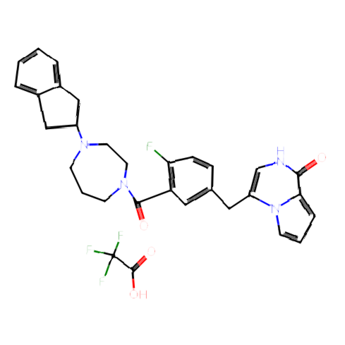 O=C(O)C(F)(F)F.O=C(c1cc(Cc2c[nH]c(=O)c3cccn23)ccc1F)N1CCCN(C2Cc3ccccc3C2)CC1